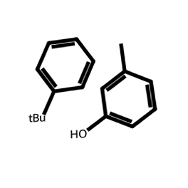 CC(C)(C)c1ccccc1.Cc1cccc(O)c1